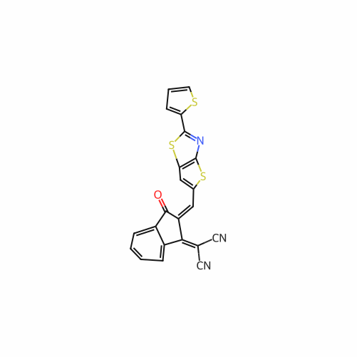 N#CC(C#N)=C1/C(=C/c2cc3sc(-c4cccs4)nc3s2)C(=O)c2ccccc21